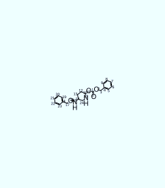 O=C(OCc1ccccc1)O[C@H]1CC[C@H](NOCc2ccccc2)CN1